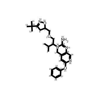 CC(C)C(COCC1CC(C(C)(C)C)=NO1)N1Cc2cc(Oc3ccccc3)ncc2N=C1N